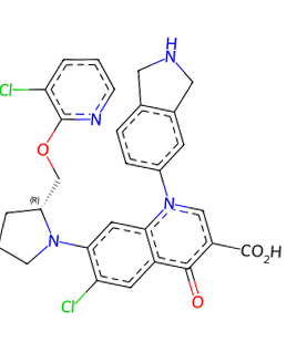 O=C(O)c1cn(-c2ccc3c(c2)CNC3)c2cc(N3CCC[C@@H]3COc3ncccc3Cl)c(Cl)cc2c1=O